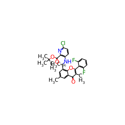 Cc1cc([C@@H](C)Nc2ccc(Cl)nc2C(=O)OC(C)(C)C)c2oc(-c3c(F)cccc3F)c(C)c(=O)c2c1